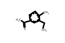 CCc1cc(C(C)=S)ccc1C